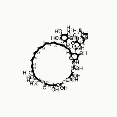 COC(=O)[C@H](Cc1cn(C)cn1)NC(=O)[C@H]1[C@@H]2C[C@@H](OC3O[C@H](O)[C@@H](O)[C@H](N)[C@@H]3O)/C=C/C=C/C=C/C=C/C=C/C=C/C=C/C(C)[C@@H](O)[C@@H](C)[C@H](C)OC(=O)C[C@H](O)C[C@H](O)CC[C@@H](O)[C@H](O)C[C@H](O)C[C@](O)(C[C@@H]1O)O2